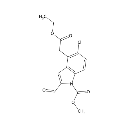 CCOC(=O)Cc1c(Cl)ccc2c1cc(C=O)n2C(=O)OC